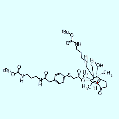 C[C@@H]1CC[C@@]23CCC(=O)[C@H]2[C@]1(C)[C@H](OC(=O)CSc1ccc(CC(=O)NCCCNC(=O)OC(C)(C)C)cc1)C[C@](C)(CNCCCNC(=O)OC(C)(C)C)[C@@H](O)[C@@H]3C